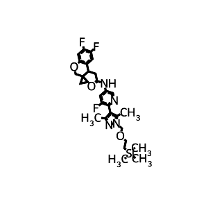 Cc1nn(COCC[Si](C)(C)C)c(C)c1-c1ncc(NC(=O)CC2c3cc(F)c(F)cc3OCC23CC3)cc1F